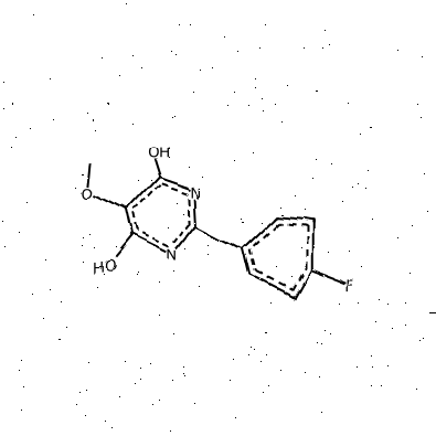 COc1c(O)nc(-c2ccc(F)cc2)nc1O